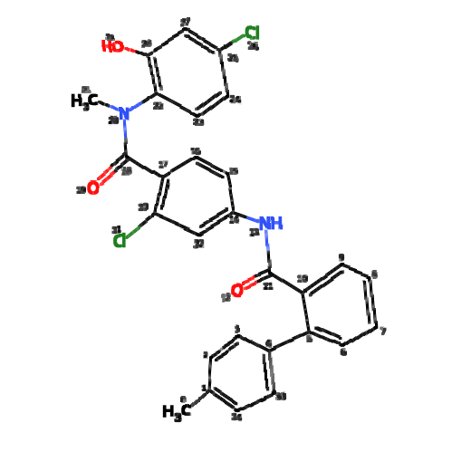 Cc1ccc(-c2ccccc2C(=O)Nc2ccc(C(=O)N(C)c3ccc(Cl)cc3O)c(Cl)c2)cc1